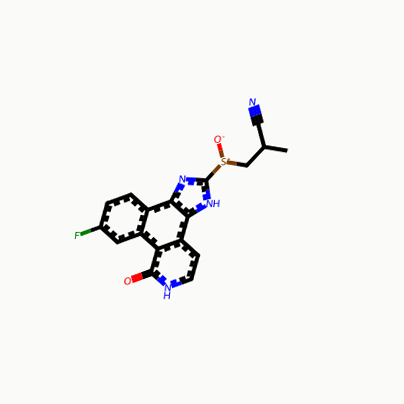 CC(C#N)C[S+]([O-])c1nc2c3ccc(F)cc3c3c(=O)[nH]ccc3c2[nH]1